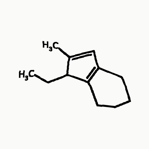 CCC1C(C)=CC2=C1CCCC2